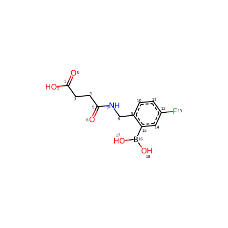 O=C(O)CCC(=O)NCc1ccc(F)cc1B(O)O